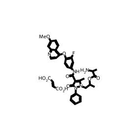 COc1ccc2c(Oc3ccc(NC(=O)c4c(C)n(CC(C)OC(=O)C(C)N)n(-c5ccccc5)c4=O)cc3F)ccnc2c1.O=C(O)C=CC(=O)O